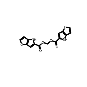 O=C(OCOC(=O)c1cc2occc2[nH]1)c1cc2occc2[nH]1